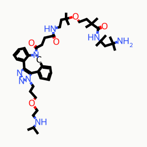 CC(C)NCCOCCCn1nnc2c1-c1ccccc1CN(C(=O)CCC(=O)NCCC(C)(C)OCCC(C)(C)C(=O)NC(C)(C)CC(C)(C)N)c1ccccc1-2